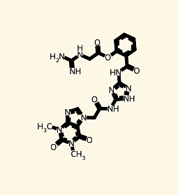 Cn1c(=O)c2c(ncn2CC(=O)Nc2nc(NC(=O)c3ccccc3OC(=O)CNC(=N)N)n[nH]2)n(C)c1=O